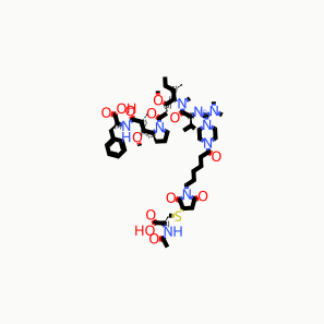 CC[C@H](C)[C@@H]([C@H](CC(=O)N1CCC[C@H]1[C@H](OC)[C@@H](C)C(=O)N[C@@H](Cc1ccccc1)C(=O)O)OC)N(C)C(=O)[C@@H](/N=C(/N(C)C)N1CCN(C(=O)CCCCCN2C(=O)CC(SC[C@H](NC(C)=O)C(=O)O)C2=O)CC1)C(C)C